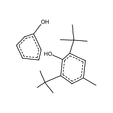 Cc1cc(C(C)(C)C)c(O)c(C(C)(C)C)c1.Oc1ccccc1